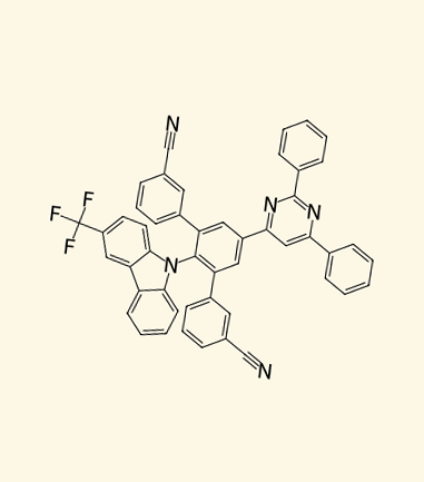 N#Cc1cccc(-c2cc(-c3cc(-c4ccccc4)nc(-c4ccccc4)n3)cc(-c3cccc(C#N)c3)c2-n2c3ccccc3c3cc(C(F)(F)F)ccc32)c1